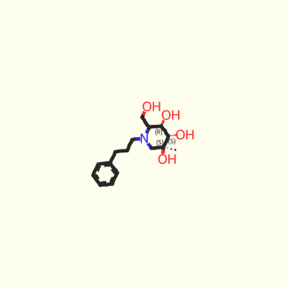 C[C@]1(O)CN(CCCc2ccccc2)C(CO)[C@@H](O)[C@@H]1O